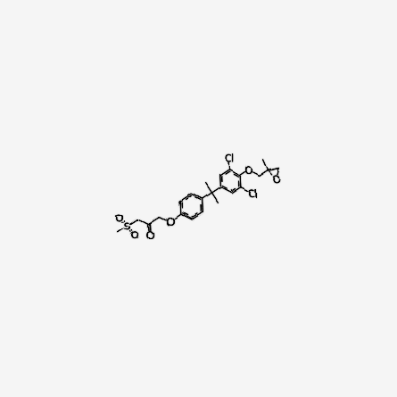 CC1(COc2c(Cl)cc(C(C)(C)c3ccc(OCC(=O)CS(C)(=O)=O)cc3)cc2Cl)CO1